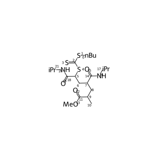 CCCCSC(=S)SC(CC(CC(C)C(=O)OC)C(=O)NC(C)C)C(=O)NC(C)C